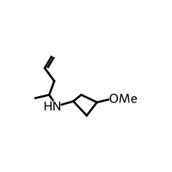 C=CCC(C)NC1CC(OC)C1